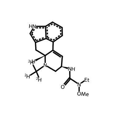 [2H]C([2H])([2H])N1C[C@H](NC(=O)N(CC)OC)C=C2c3cccc4[nH]cc(c34)C[C@H]21